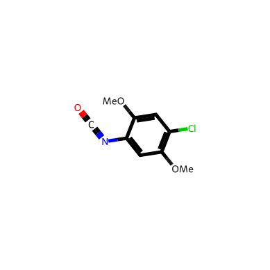 COc1cc(N=C=O)c(OC)cc1Cl